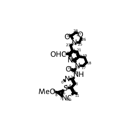 C=N/C(=C\C(SC1CC1OC)=C(/C)C#N)NC(=O)N1CCCc2cc(CN3CCOCC3=O)c(C=O)nc21